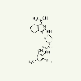 Cc1cc(C)c(NC(=S)N[C@H]2CC[C@@H](Nc3nc4c(c(N(C)C)n3)CCCC4)CC2)c(C)c1